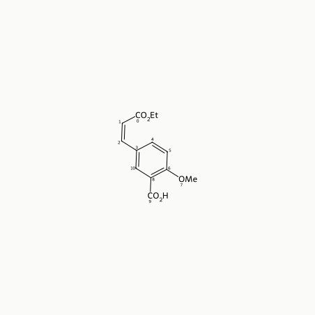 CCOC(=O)/C=C\c1ccc(OC)c(C(=O)O)c1